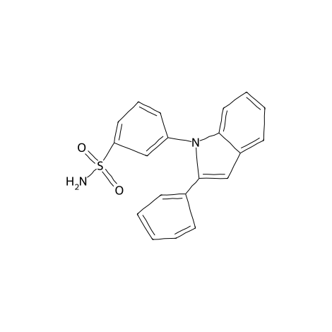 NS(=O)(=O)c1cccc(-n2c(-c3ccccc3)cc3ccccc32)c1